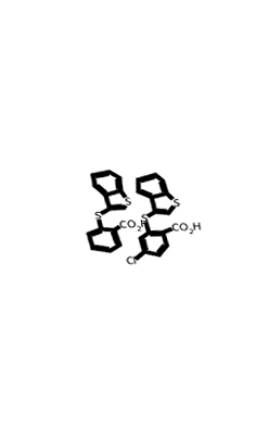 O=C(O)c1ccc(Cl)cc1Sc1csc2ccccc12.O=C(O)c1ccccc1Sc1csc2ccccc12